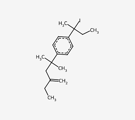 C=C(CC)CC(C)(C)c1ccc(C(C)(I)CC)cc1